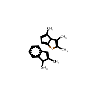 CC1=CC=C2SC(C)=C(C)C12.CC1=Cc2ccccc2C1[SiH3]